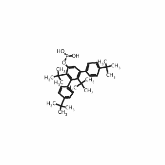 CC(C)(C)c1ccc(-c2cc(OP(O)O)c(C(C)(C)C)c(-c3ccc(C(C)(C)C)cc3)c2C(C)(C)C)cc1